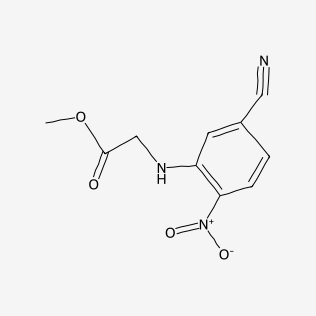 COC(=O)CNc1cc(C#N)ccc1[N+](=O)[O-]